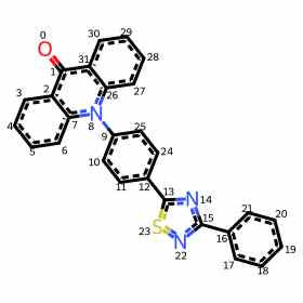 O=c1c2ccccc2n(-c2ccc(-c3nc(-c4ccccc4)ns3)cc2)c2ccccc12